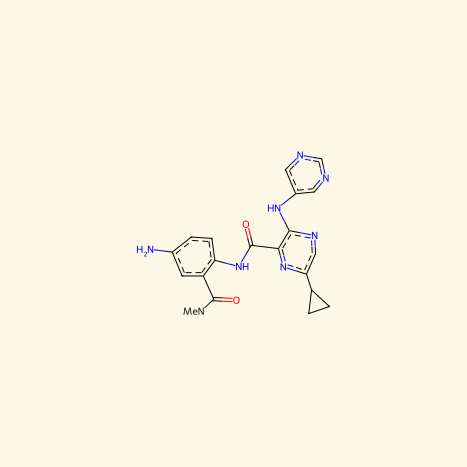 CNC(=O)c1cc(N)ccc1NC(=O)c1nc(C2CC2)cnc1Nc1cncnc1